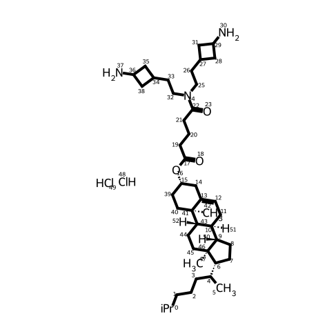 CC(C)CCCC(C)[C@H]1CC[C@H]2[C@@H]3CC=C4C[C@@H](OC(=O)CCCC(=O)N(CCC5CC(N)C5)CCC5CC(N)C5)CC[C@]4(C)[C@H]3CC[C@]12C.Cl.Cl